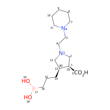 O=C(O)[C@@H]1CN(CCN2CCCCC2)C[C@@H]1CCCB(O)O